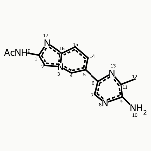 CC(=O)Nc1cn2cc(-c3cnc(N)c(C)n3)ccc2n1